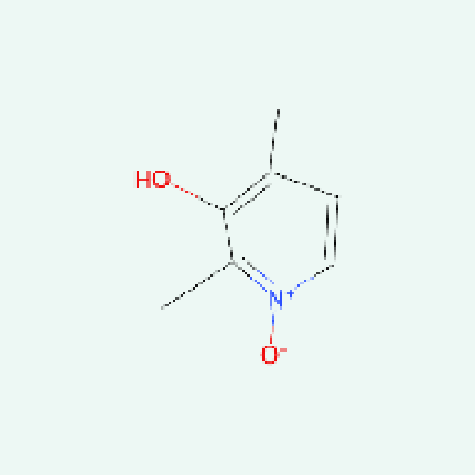 Cc1cc[n+]([O-])c(C)c1O